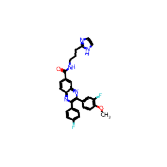 COc1ccc(-c2nc3cc(C(=O)NCCCc4ncc[nH]4)ccc3nc2-c2ccc(F)cc2)cc1F